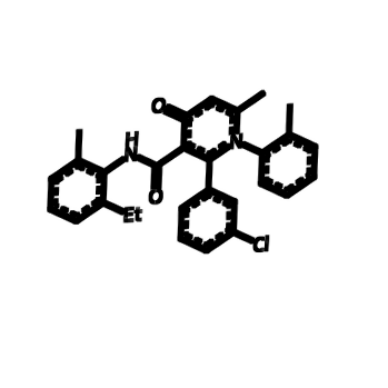 CCc1cccc(C)c1NC(=O)c1c(-c2cccc(Cl)c2)n(-c2ccccc2C)c(C)cc1=O